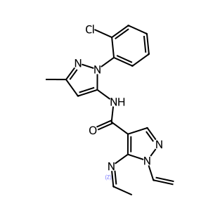 C=Cn1ncc(C(=O)Nc2cc(C)nn2-c2ccccc2Cl)c1/N=C\C